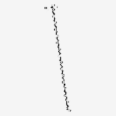 [CH2]COCCOCCOCCOCCOCCOCCOCCOCCOCCOCCOCCOCCOCCOCCOCCOC(=C)C